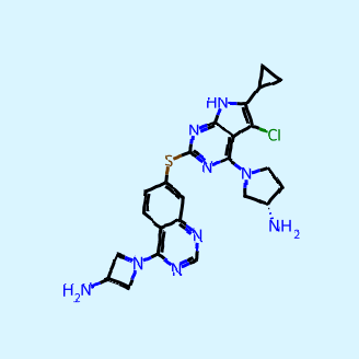 NC1CN(c2ncnc3cc(Sc4nc(N5CC[C@H](N)C5)c5c(Cl)c(C6CC6)[nH]c5n4)ccc23)C1